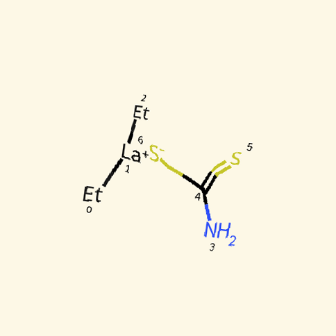 C[CH2][La+][CH2]C.NC(=S)[S-]